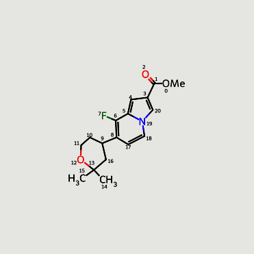 COC(=O)c1cc2c(F)c(C3CCOC(C)(C)C3)ccn2c1